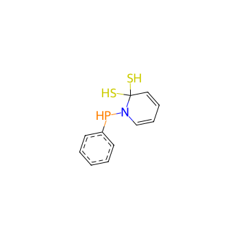 SC1(S)C=CC=CN1Pc1ccccc1